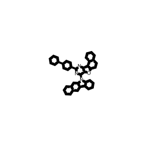 c1ccc(-c2ccc(-c3nc(-n4c5ccccc5c5cc6ccccc6cc54)c4oc5ccc6ccccc6c5c4n3)cc2)cc1